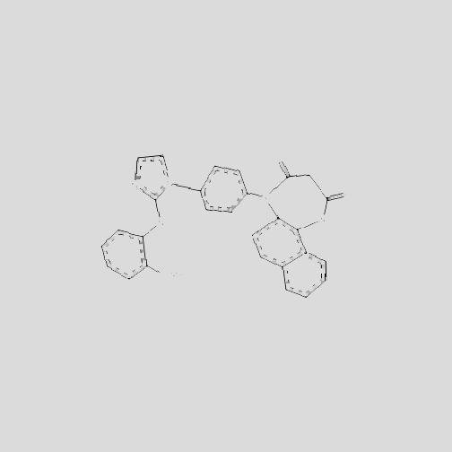 COc1ccccc1Nc1nccn1-c1ccc(N2C(=O)CC(=O)Nc3c2ccc2ccccc32)cc1